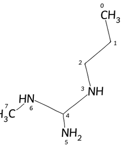 CCCNC(N)NC